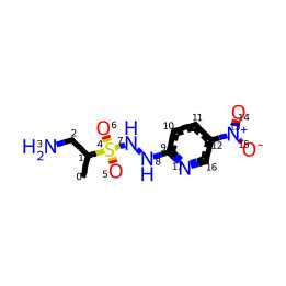 CC(CN)S(=O)(=O)NNc1ccc([N+](=O)[O-])cn1